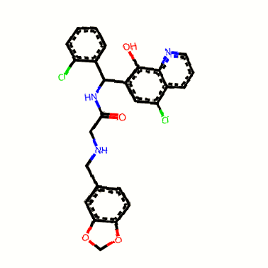 O=C(CNCc1ccc2c(c1)OCO2)NC(c1ccccc1Cl)c1cc(Cl)c2cccnc2c1O